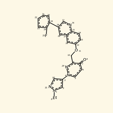 CCn1cc(-n2ccc(=O)c(COc3ccc4ncc(-c5ccccc5F)cc4c3)n2)cn1